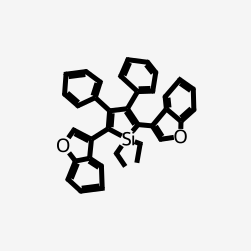 CC[Si]1(CC)C(c2coc3ccccc23)=C(c2ccccc2)C(c2ccccc2)=C1c1coc2ccccc12